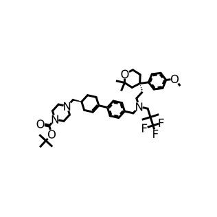 COc1ccc([C@]2(CCN(Cc3ccc(C4=CC[C@@H](CN5CCN(C(=O)OC(C)(C)C)CC5)CC4)cc3)CC(C)(C)C(F)(F)F)CCOC(C)(C)C2)cc1